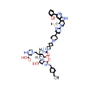 C#Cc1ccc(CNC(=O)[C@@H]2C[C@@H](O)CN2C(=O)[C@@H](NC(=O)N2CC3(CC(N4CCC(c5cnc(N6CCc7[nH]c8nnc(-c9ccccc9O)cc8c7[C@H]6C)nc5)CC4)C3)C2)C(C)(C)CCN2CCN[C@H](C(=O)O)C2)cc1